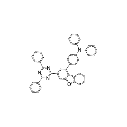 c1ccc(-c2nc(-c3ccccc3)nc(-c3cc(-c4ccc(N(c5ccccc5)c5ccccc5)cc4)c4c(c3)oc3ccccc34)n2)cc1